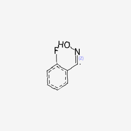 O/N=[C]\c1ccccc1F